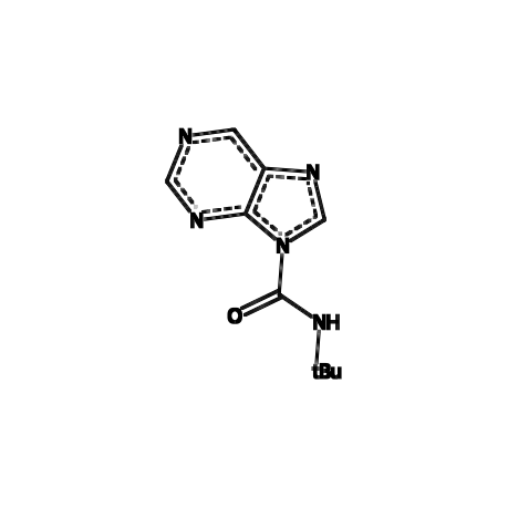 CC(C)(C)NC(=O)n1cnc2cncnc21